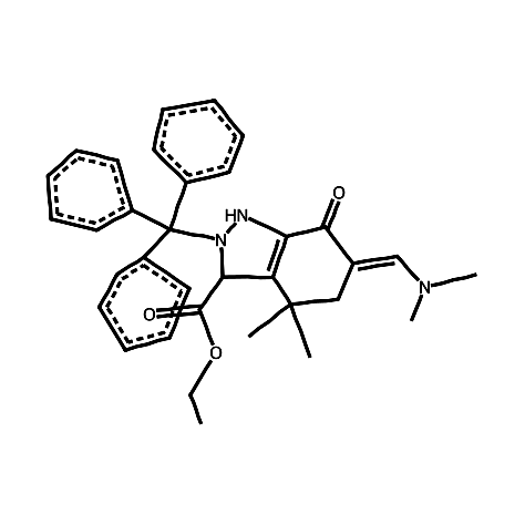 CCOC(=O)C1C2=C(NN1C(c1ccccc1)(c1ccccc1)c1ccccc1)C(=O)C(=CN(C)C)CC2(C)C